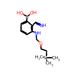 C[Si](C)(C)CCOCNc1cccc(B(O)O)c1C=N